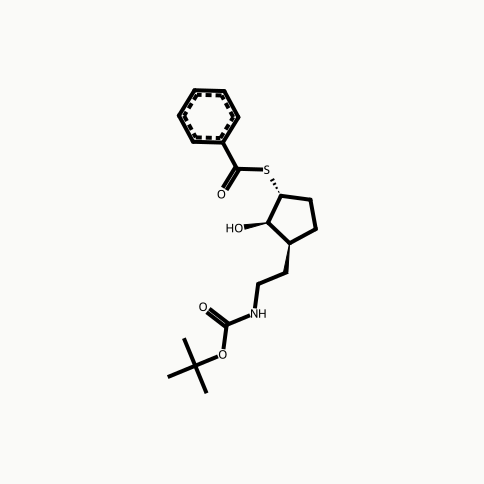 CC(C)(C)OC(=O)NCC[C@@H]1CC[C@@H](SC(=O)c2ccccc2)[C@@H]1O